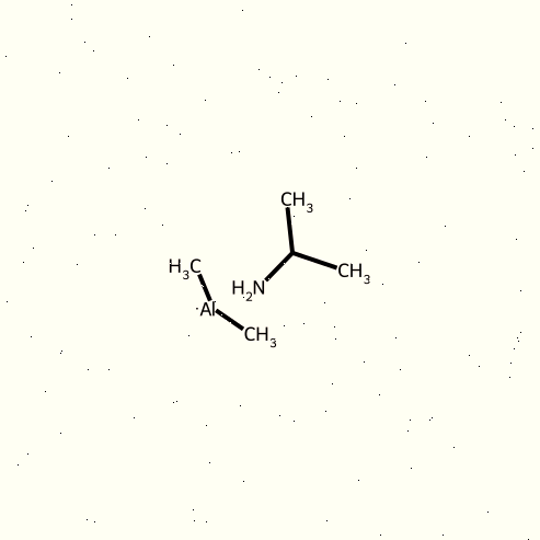 CC(C)N.[CH3][Al][CH3]